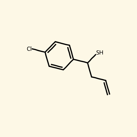 C=CCC(S)c1ccc(Cl)cc1